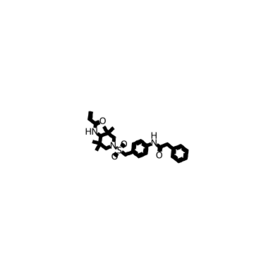 C=CC(=O)NC1C(C)(C)CN(S(=O)(=O)Cc2ccc(NC(=O)Cc3ccccc3)cc2)CC1(C)C